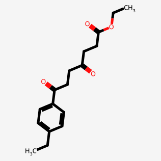 CCOC(=O)CCC(=O)CCC(=O)c1ccc(CC)cc1